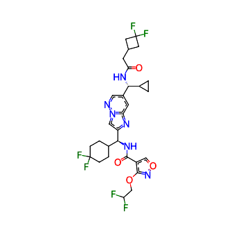 O=C(CC1CC(F)(F)C1)N[C@@H](c1cnn2cc([C@@H](NC(=O)c3conc3OCC(F)F)C3CCC(F)(F)CC3)nc2c1)C1CC1